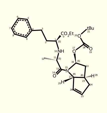 CCOC(=O)[C@H](CCc1ccccc1)N[C@@H](C)C(=O)N1[C@@H](OC(=O)OC(C)(C)C)C[C@H]2CC=C[C@@H]21